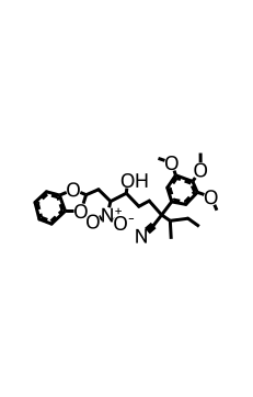 CCC(C)C(C#N)(CCC(O)C(CC1Oc2ccccc2O1)[N+](=O)[O-])c1cc(OC)c(OC)c(OC)c1